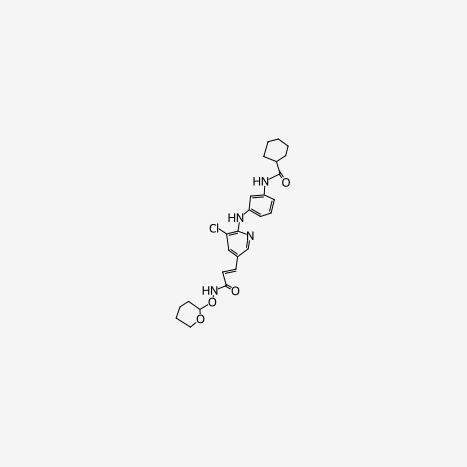 O=C(C=Cc1cnc(Nc2cccc(NC(=O)C3CCCCC3)c2)c(Cl)c1)NOC1CCCCO1